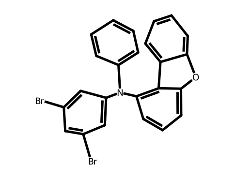 Brc1cc(Br)cc(N(c2ccccc2)c2cccc3oc4ccccc4c23)c1